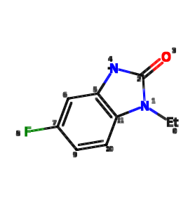 CCN1C(=O)[N]c2cc(F)ccc21